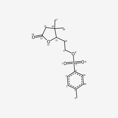 Cc1ccc(S(=O)(=O)OCCC2OC(=O)CC2(C)C)cc1